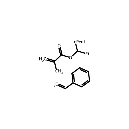 C=C(C)C(=O)OC(CC)CCCCC.C=Cc1ccccc1